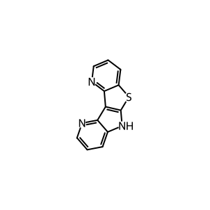 c1cnc2c(c1)[nH]c1sc3cccnc3c12